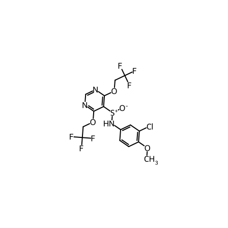 COc1ccc(N[S+]([O-])c2c(OCC(F)(F)F)ncnc2OCC(F)(F)F)cc1Cl